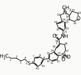 CCCCCSc1ccc(-c2ccc3c(c2)C=C(C(=O)Nc2ccc(CN(C)C4CCOCC4)cc2)CCS3(=O)=O)cc1